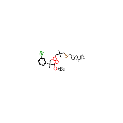 CCOC(=O)CSCC(C)(C)COCC(C)(C(=O)OC(C)(C)C)c1cccc(Br)c1